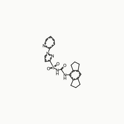 O=C(Nc1c2c(cc3c1CCC3)CCC2)NS(=O)(=O)c1ccn(-c2ccccn2)n1